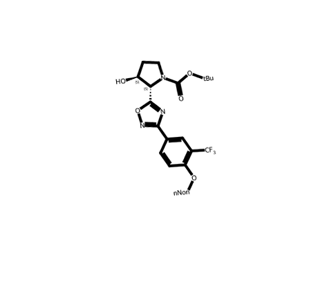 CCCCCCCCCOc1ccc(-c2noc([C@@H]3[C@@H](O)CCN3C(=O)OC(C)(C)C)n2)cc1C(F)(F)F